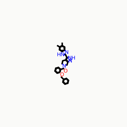 Cc1cc2nc(-c3[nH]nc4c3CCN(C(=O)c3ccccc3OCc3ccccc3)C4)[nH]c2cc1C